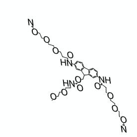 COCCOCCNC(=O)OCC1c2cc(NC(=O)CCOCCOCCOC#N)ccc2-c2ccc(NC(=O)CCOCCOCCOC#N)cc21